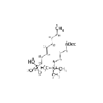 CCCCCCCCCCCCCC[N+](C)(C)C.CCCCCCCCS(=O)(=O)O